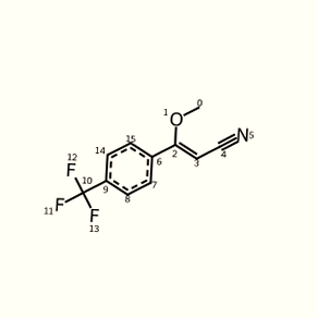 COC(=CC#N)c1ccc(C(F)(F)F)cc1